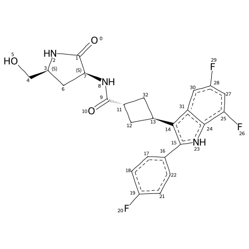 O=C1N[C@H](CO)C[C@@H]1NC(=O)[C@H]1C[C@H](c2c(-c3ccc(F)cc3)[nH]c3c(F)cc(F)cc32)C1